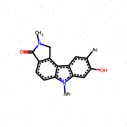 CCCn1c2cc(O)c(C(C)=O)cc2c2c3c(ccc21)C(=O)N(C)C3